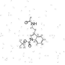 CC(=O)NCCc1cn(C(=O)OC(C)(C)C)c2ccccc12